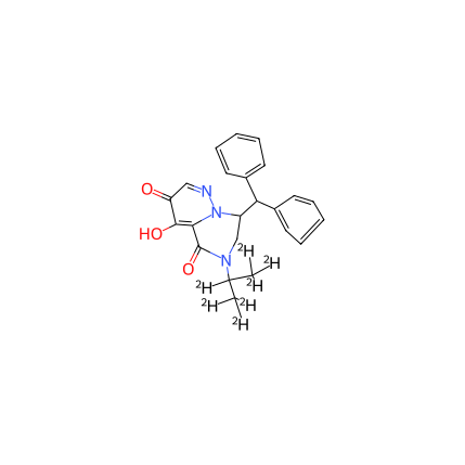 [2H]C([2H])([2H])C([2H])(N1CC(C(c2ccccc2)c2ccccc2)n2ncc(=O)c(O)c2C1=O)C([2H])([2H])[2H]